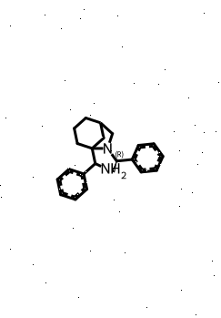 C[C@H](c1ccccc1)N1CC2CCCC1(C(N)c1ccccc1)C2